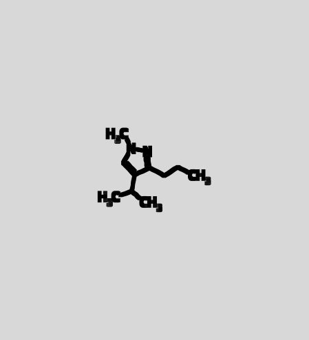 CCCc1nn(C)cc1C(C)C